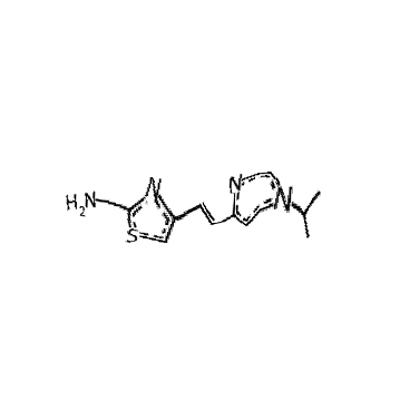 CC(C)n1cnc(C=Cc2csc(N)n2)c1